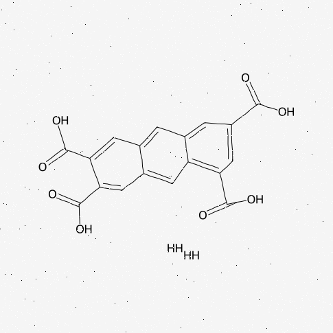 O=C(O)c1cc(C(=O)O)c2cc3cc(C(=O)O)c(C(=O)O)cc3cc2c1.[HH].[HH]